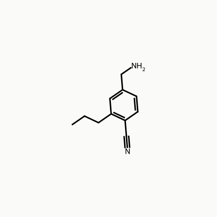 CCCc1cc(CN)ccc1C#N